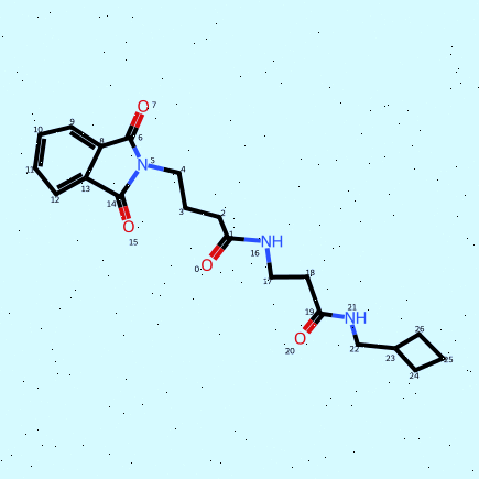 O=C(CCCN1C(=O)c2ccccc2C1=O)NCCC(=O)NCC1CCC1